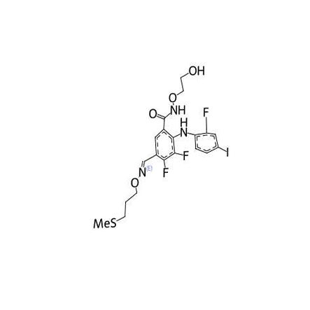 CSCCCO/N=C/c1cc(C(=O)NOCCO)c(Nc2ccc(I)cc2F)c(F)c1F